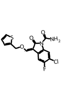 NC(=O)N1C(=O)C(=[C]OCc2cccs2)c2cc(F)c(Cl)cc21